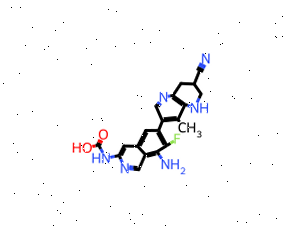 Cc1c(-c2cc3cc(NC(=O)O)ncc3c(N)c2F)cnc2c1NCC(C#N)C2